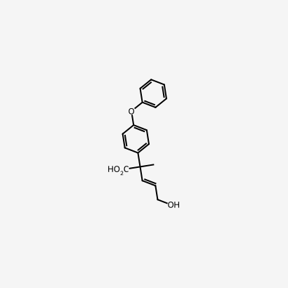 CC(/C=C/CO)(C(=O)O)c1ccc(Oc2ccccc2)cc1